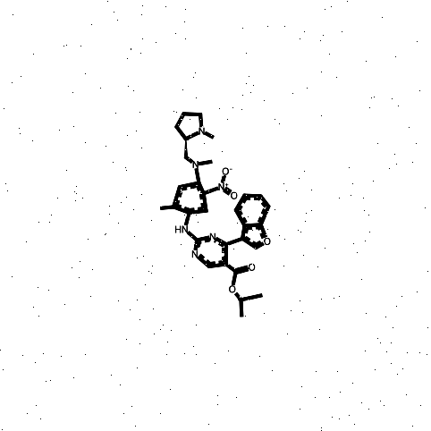 Cc1cc(N(C)C[C@H]2CCCN2C)c([N+](=O)[O-])cc1Nc1ncc(C(=O)OC(C)C)c(-c2coc3ccccc23)n1